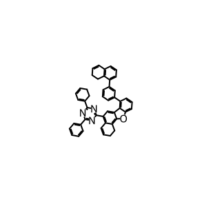 C1=CCCC(c2nc(-c3ccccc3)nc(-c3cc4c(oc5cccc(-c6cccc(-c7cccc8c7CCC=C8)c6)c54)c4c3C=CCC4)n2)=C1